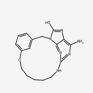 Nc1nc2nc3c1nc(O)n3Cc1cccc(c1)OCCCCCN2